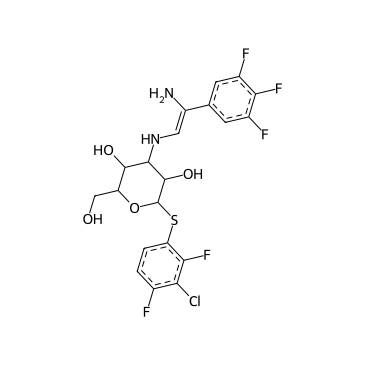 N/C(=C\NC1C(O)C(CO)OC(Sc2ccc(F)c(Cl)c2F)C1O)c1cc(F)c(F)c(F)c1